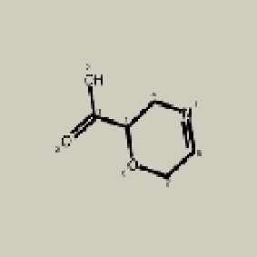 O=C(O)C1CN=CCO1